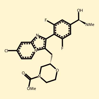 CN[C@H](O)c1cc(F)c(-c2nc3cc(Cl)ccn3c2C[C@H]2CN(C(=O)OC)CCO2)c(F)c1